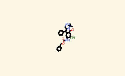 CC(C)(C)n1c(CN)c(-c2ccccc2)c2cc(NC(=O)OCc3ccccc3)ccc2c1=O.Cl